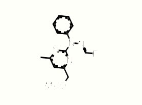 CCC=NN(c1ccccc1)c1nc(C)cc(COC)n1